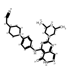 CC1CN(c2nc(Nc3ccc(N4CCC(CC#N)CC4)cc3)c3c(=O)[nH]ncc3n2)CC(C)O1